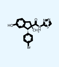 C[C@]1(C(=O)Nc2nncs2)Cc2ccc(O)cc2[C@H]1c1ccc(Br)cc1